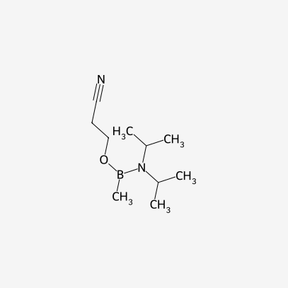 CB(OCCC#N)N(C(C)C)C(C)C